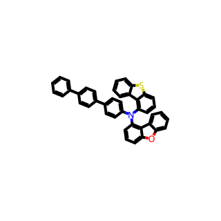 c1ccc(-c2ccc(-c3ccc(N(c4cccc5oc6ccccc6c45)c4cccc5sc6ccccc6c45)cc3)cc2)cc1